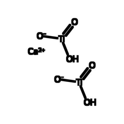 [Ca+2].[O]=[Ti]([O-])[OH].[O]=[Ti]([O-])[OH]